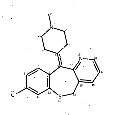 CN1CCC(=C2c3ccc(Cl)cc3SCc3cccnc32)CC1